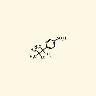 CCC(C)(C)C(C)(C)c1ccc(S(=O)(=O)O)cc1